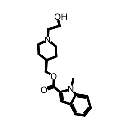 Cn1c(C(=O)OCC2CCN(CCO)CC2)cc2ccccc21